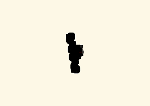 C=CC(=O)OCC1CCC(C(=O)Oc2ccc(OC(=O)C3CCC(COC(=O)C=C)CC3)c(C(F)(F)F)c2C(F)(F)F)CC1